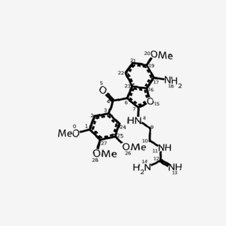 COc1cc(C(=O)c2c(NCCNC(=N)N)oc3c(N)c(OC)ccc23)cc(OC)c1OC